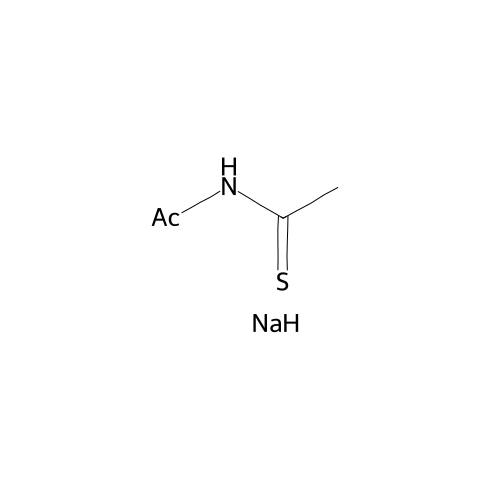 CC(=O)NC(C)=S.[NaH]